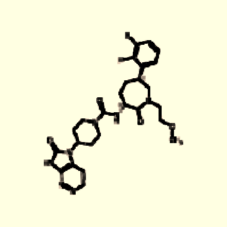 COCCN1C[C@H](c2cccc(F)c2F)CC[C@@H](NC(=O)N2CCC(n3c(=O)[nH]c4nnccc43)CC2)C1=O